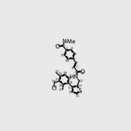 CNC(=O)c1ccc(/C=C/C(=O)NCc2sccc2-c2ccc(C)c(CCl)c2C)cc1